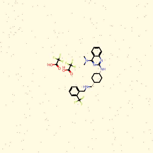 CN(C)c1nc(N[C@H]2CC[C@@H](CNCc3ccccc3C(F)(F)F)CC2)nc2ccccc12.O=C(O)C(F)(F)F.O=C(O)C(F)(F)F